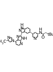 Cc1cn(-c2ccnc3[nH]c(-c4n[nH]c5ccc(-c6cncc(NC(=O)CC(C)(C)C)c6)cc45)nc23)cn1